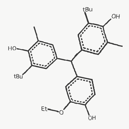 CCOc1cc(C(c2cc(C)c(O)c(C(C)(C)C)c2)c2cc(C)c(O)c(C(C)(C)C)c2)ccc1O